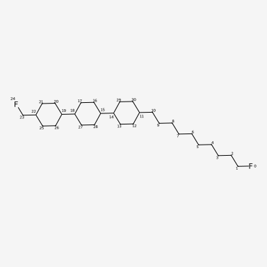 FCCCCCCCCCCC1CCC(C2CCC(C3CCC(CF)CC3)CC2)CC1